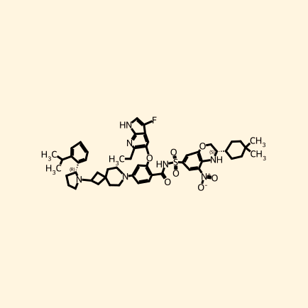 CCc1nc2[nH]cc(F)c2cc1Oc1cc(N2CCC3(CC2)CC(N2CCC[C@@H]2c2ccccc2C(C)C)C3)ccc1C(=O)NS(=O)(=O)c1cc2c(c([N+](=O)[O-])c1)N[C@@H](C1CCC(C)(C)CC1)CO2